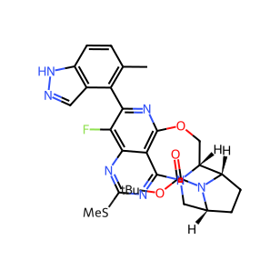 CSc1nc2c3c(nc(-c4c(C)ccc5[nH]ncc45)c(F)c3n1)OC[C@@H]1[C@@H]3CC[C@H](CN21)N3C(=O)OC(C)(C)C